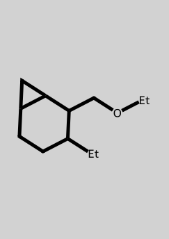 CCOCC1C(CC)CCC2CC21